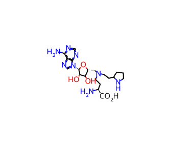 Nc1ncnc2c1ncn2[C@@H]1O[C@H](CN(CCC2CCCN2)CC[C@H](N)C(=O)O)[C@@H](O)[C@H]1O